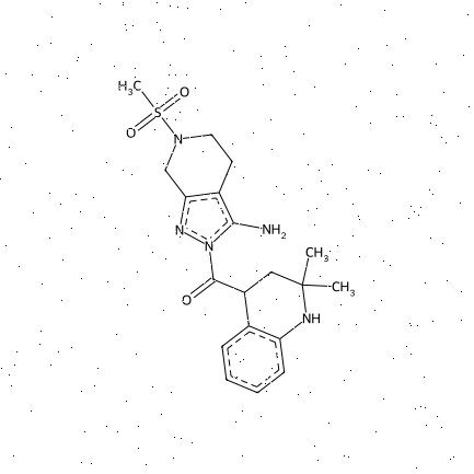 CC1(C)CC(C(=O)n2nc3c(c2N)CCN(S(C)(=O)=O)C3)c2ccccc2N1